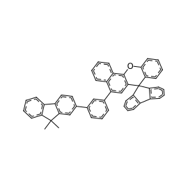 CC1(C)c2ccccc2-c2ccc(-c3cccc(-c4cc5c(c6ccccc46)Oc4ccccc4C54c5ccccc5-c5ccccc54)c3)cc21